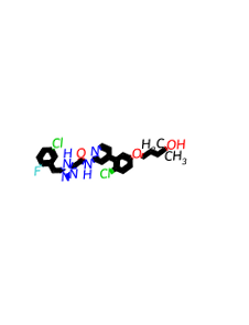 CC(C)(O)CCCOc1ccc(Cl)c(-c2ccnc(NC(=O)c3nnc(Cc4cc(Cl)ccc4F)[nH]3)c2)c1